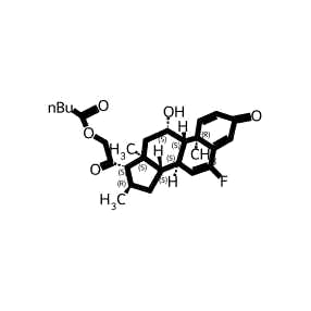 CCCCC(=O)OCC(=O)[C@H]1[C@H](C)C[C@H]2[C@@H]3C=C(F)C4=CC(=O)C=C[C@]4(C)[C@H]3[C@@H](O)C[C@@]21C